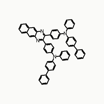 c1ccc(-c2ccc(N(c3ccccc3)c3ccc(-c4nc5cc6ccccc6cc5nc4-c4ccc(N(c5ccccc5)c5ccc(-c6ccccc6)cc5)cc4)cc3)cc2)cc1